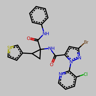 O=C(NC1(C(=O)Nc2ccccc2)CC1c1ccsc1)c1cc(Br)nn1-c1ncccc1Cl